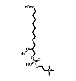 CCCCCCCCCCCCCCCCCSCC(COP(=O)(O)OCC[N+](C)(C)C)OC(C)C